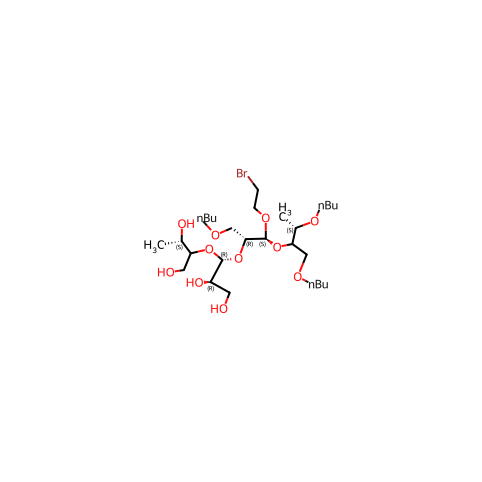 CCCCOCC(O[C@H](OCCBr)[C@@H](COCCCC)O[C@@H](OC(CO)[C@H](C)O)[C@H](O)CO)[C@H](C)OCCCC